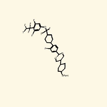 CCCCCC1CCC(C2COC(c3ccc(C4CCC(C(F)(F)Oc5cc(F)c(C(F)(F)C(F)F)c(F)c5)CC4)c(F)c3)OC2)CC1